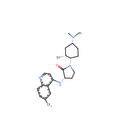 CC[C@@H]1C[C@H](N(C)C(C)C)CC[C@@H]1N1CC[C@H](Nc2ccnc3ccc(C(F)(F)F)cc23)C1=O